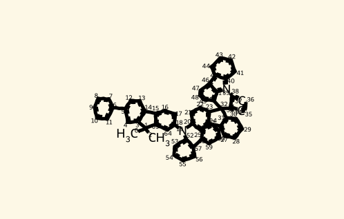 CC1(C)c2cc(-c3ccccc3)ccc2-c2ccc(N(c3ccc4c(c3)-c3ccccc3C43c4ccccc4-n4c5ccccc5c5cccc3c54)c3ccccc3-c3ccccc3)cc21